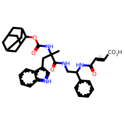 CC(Cc1c[nH]c2ccccc12)(NC(=O)OC1C2CC3CC(C2)CC1C3)C(=O)NCC(NC(=O)/C=C/C(=O)O)c1ccccc1